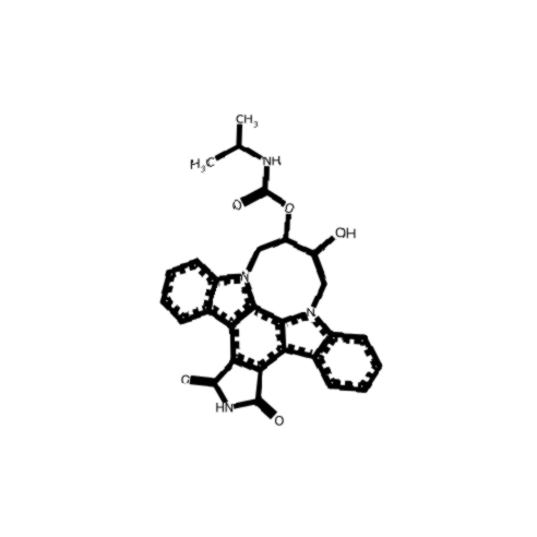 CC(C)NC(=O)OC1Cn2c3ccccc3c3c4c(c5c6ccccc6n(c5c32)CC1O)C(=O)NC4=O